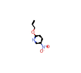 C=CCOc1ccc([N+](=O)[O-])cn1